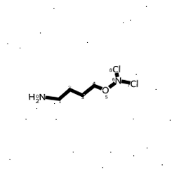 NCCCCON(Cl)Cl